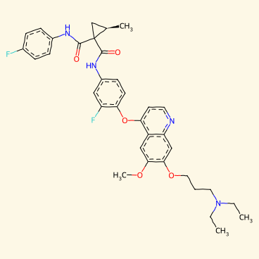 CCN(CC)CCCOc1cc2nccc(Oc3ccc(NC(=O)C4(C(=O)Nc5ccc(F)cc5)C[C@H]4C)cc3F)c2cc1OC